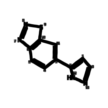 c1cc(-c2ccc3nnsc3c2)[nH]n1